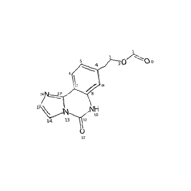 O=COCc1ccc2c(c1)[nH]c(=O)n1ccnc21